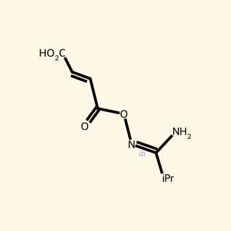 CC(C)/C(N)=N/OC(=O)C=CC(=O)O